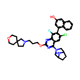 Oc1cc(-c2c(Cl)cc3c(N4CC5CCC(C4)N5)nc(OCCCN4CCC5(CCOCC5)C4)nc3c2F)c2ccccc2c1